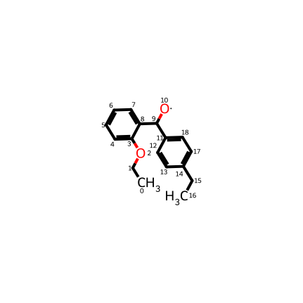 CCOc1ccccc1C([O])c1ccc(CC)cc1